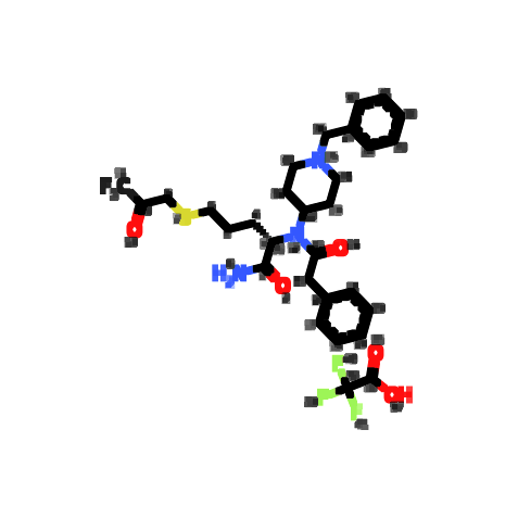 NC(=O)[C@H](CCCSCC(=O)C(F)(F)F)N(C(=O)Cc1ccccc1)C1CCN(Cc2ccccc2)CC1.O=C(O)C(F)(F)F